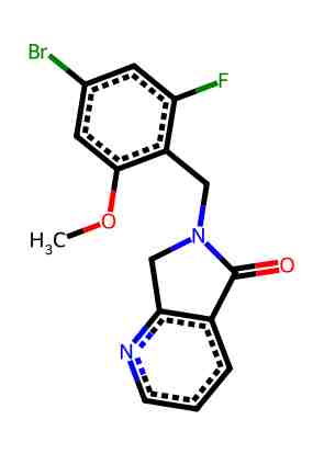 COc1cc(Br)cc(F)c1CN1Cc2ncccc2C1=O